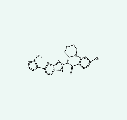 Cn1nccc1-c1ccc2nc(NC(=O)c3ccc(C#N)nc3N3CCOCC3)sc2n1